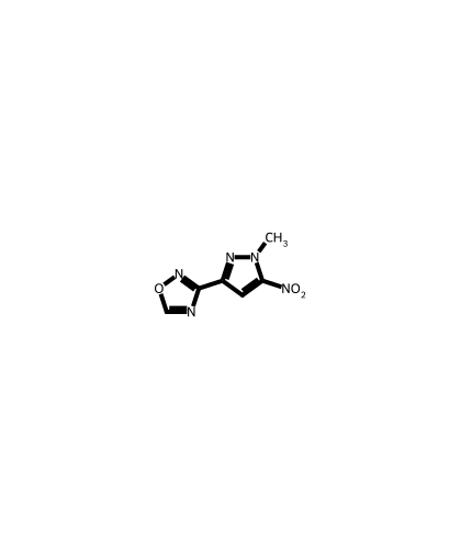 Cn1nc(-c2ncon2)cc1[N+](=O)[O-]